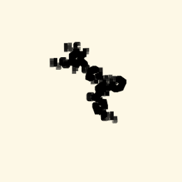 COc1cc(C)c(F)c(COc2cnc(Nc3cc(C(=O)N4CCN(C)CC4)nn3C3CCCCO3)nc2)c1F